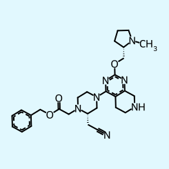 CN1CCC[C@H]1COc1nc2c(c(N3CCN(CC(=O)OCc4ccccc4)[C@@H](CC#N)C3)n1)CCNC2